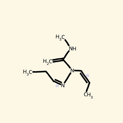 C=C(NC)N(/C=C\C)/N=C\CC